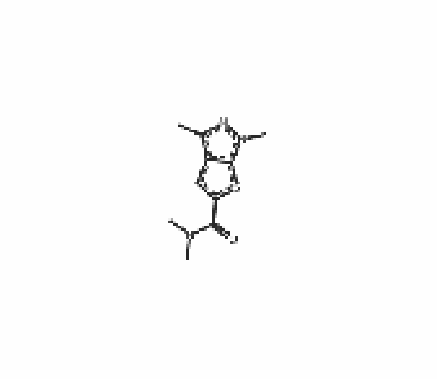 Cc1nn(C)c2sc(C(=O)N(C)C)cc12